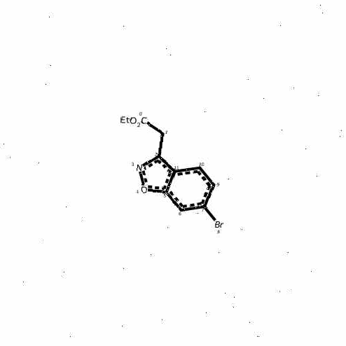 CCOC(=O)Cc1noc2cc(Br)ccc12